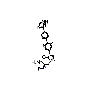 Cc1cc(-n2cnn(C/C(=C/F)CN)c2=O)cnc1-c1ccc(-c2nc[nH]n2)cc1